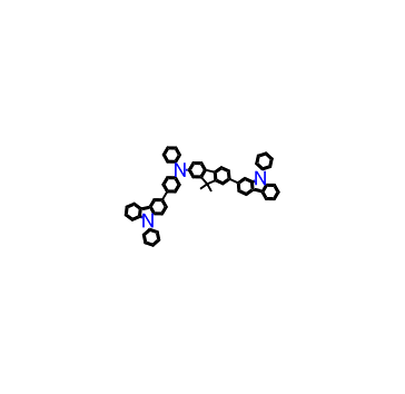 CC1(C)c2cc(-c3ccc4c5ccccc5n(-c5ccccc5)c4c3)ccc2-c2ccc(N(c3ccccc3)c3ccc(-c4ccc5c(c4)c4ccccc4n5-c4ccccc4)cc3)cc21